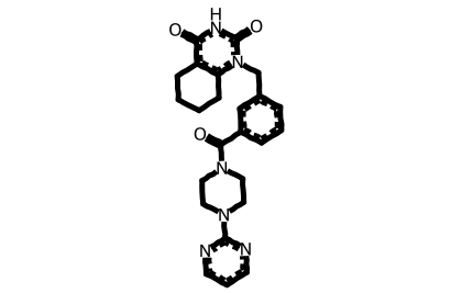 O=C(c1cccc(Cn2c3c(c(=O)[nH]c2=O)CCCC3)c1)N1CCN(c2ncccn2)CC1